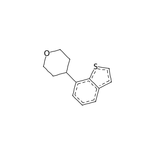 c1cc(C2CCOCC2)c2sccc2c1